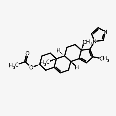 CC(=O)O[C@H]1CC[C@@]2(C)C(=CC[C@H]3C4=CC(C)=C(n5ccnc5)[C@@]4(C)CC[C@@H]32)C1